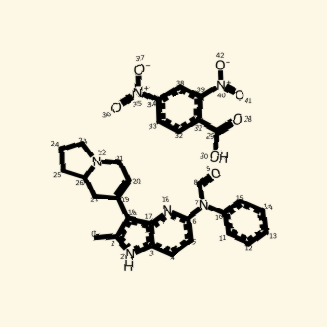 Cc1[nH]c2ccc(N(C=O)c3ccccc3)nc2c1C1=CCN2CCCC2C1.O=C(O)c1ccc([N+](=O)[O-])cc1[N+](=O)[O-]